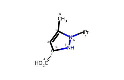 CC1=C[C@@H](C(=O)O)NN1C(C)C